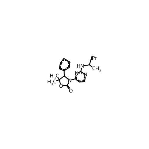 CC(C)C(C)Nc1nccc(N2C(=O)OC(C)(C)C2c2ccccc2)n1